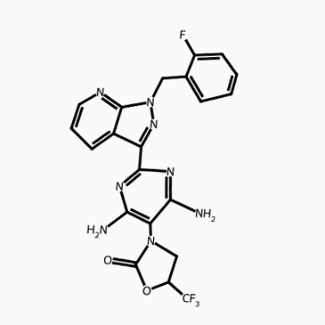 Nc1nc(-c2nn(Cc3ccccc3F)c3ncccc23)nc(N)c1N1CC(C(F)(F)F)OC1=O